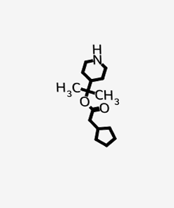 CC(C)(OC(=O)CC1CCCC1)C1CCNCC1